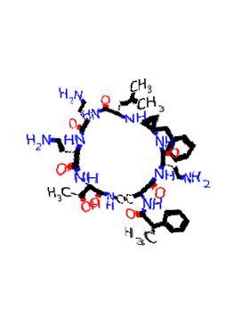 CC(C)C[C@@H]1NC2=CC2(Cc2ccccc2)NC(=O)[C@H](CCN)NC(=O)[C@@H](NC(=O)[C@H](C)c2ccccc2)CCNC(=O)[C@H]([C@@H](C)O)NC(=O)[C@H](CCN)NC(=O)[C@H](CCN)NC1=O